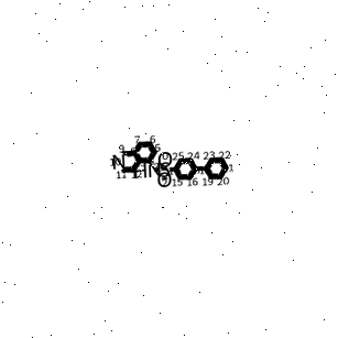 O=S(=O)(Nc1cccc2cnccc12)c1ccc(-c2ccccc2)cc1